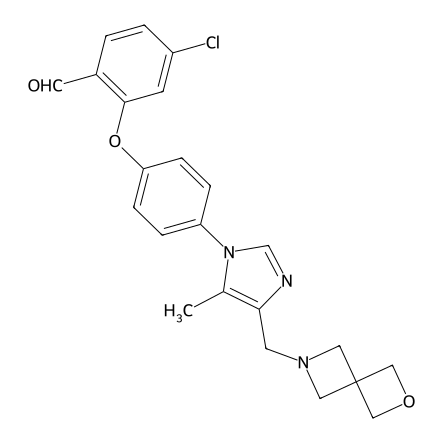 Cc1c(CN2CC3(COC3)C2)ncn1-c1ccc(Oc2cc(Cl)ccc2C=O)cc1